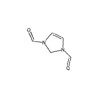 O=CN1C=CN(C=O)C1